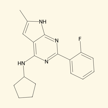 Cc1cc2c(NC3CCCC3)nc(-c3ccccc3F)nc2[nH]1